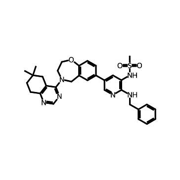 CC1(C)CCc2ncnc(N3CCOc4ccc(-c5cnc(NCc6ccccc6)c(NS(C)(=O)=O)c5)cc4C3)c2C1